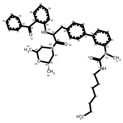 CCCCCCCNC(=O)N(C)c1cccc(-c2ccc(CC(Nc3ccccc3C(=O)c3ccccc3)C(=O)N3CC(C)O[C@@H](C)C3)cc2)c1